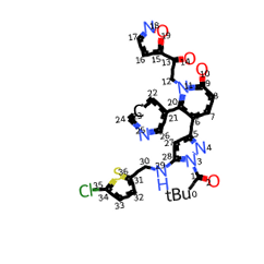 CC(C)(C)C(=O)n1nc(-c2ccc(=O)n(CC(=O)c3ccno3)c2-c2cccnc2)cc1NCc1ccc(Cl)s1